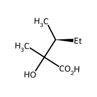 CC[C@H](C)C(C)(O)C(=O)O